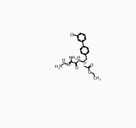 CCOC(=O)C[C@@H](Cc1ccc(-c2cccc(Cl)c2)cc1)NC(=O)/C(N)=N/NN